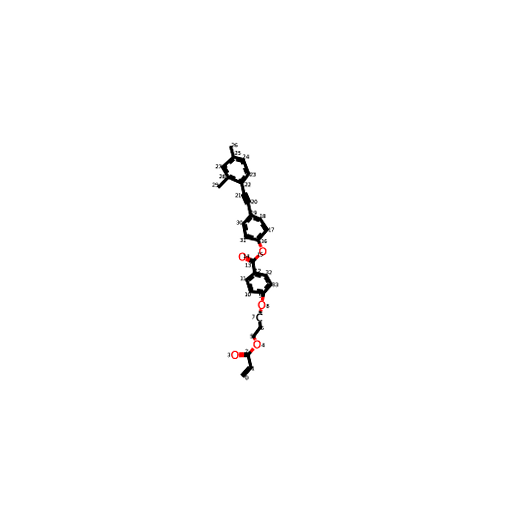 C=CC(=O)OCCCOc1ccc(C(=O)Oc2ccc(C#Cc3ccc(C)cc3C)cc2)cc1